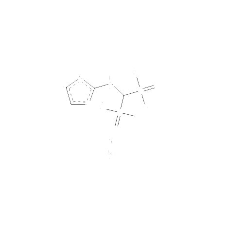 O=P([O-])([O-])C(Nc1ncco1)P(=O)(O)O.[Na+].[Na+]